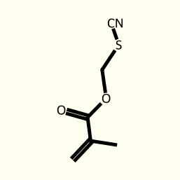 C=C(C)C(=O)OCSC#N